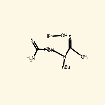 CC(C)O.CCCCN(CCCC)C(O)=S.NC(O)=S